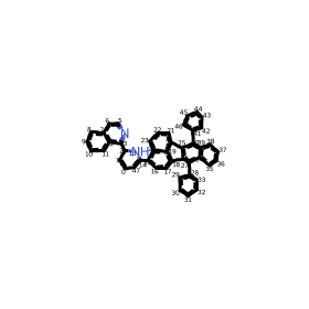 C1=CC(c2nccc3ccccc23)NC(c2ccc3c4c(cccc24)-c2c-3c(-c3ccccc3)c3ccccc3c2-c2ccccc2)=C1